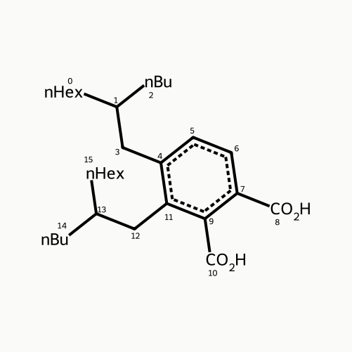 CCCCCCC(CCCC)Cc1ccc(C(=O)O)c(C(=O)O)c1CC(CCCC)CCCCCC